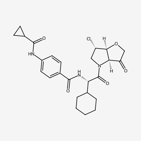 O=C(N[C@H](C(=O)N1C[C@H](Cl)[C@H]2OCC(=O)[C@H]21)C1CCCCC1)c1ccc(NC(=O)C2CC2)cc1